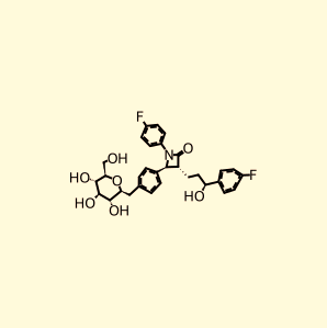 O=C1[C@H](CC[C@H](O)c2ccc(F)cc2)[C@@H](c2ccc(C[C@@H]3O[C@H](CO)[C@@H](O)[C@H](O)[C@H]3O)cc2)N1c1ccc(F)cc1